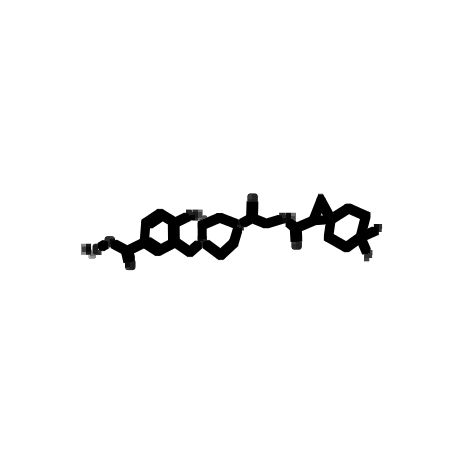 COC(=O)c1ccc(N)c(CN2CCN(C(=O)CNC(=O)C3CC34CCC(F)(F)CC4)CC2)c1